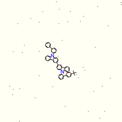 CC(C)(C)c1ccc(-c2ccccc2-n2c3ccccc3c3cc(-c4ccc5c(c4)c4ccccc4n5-c4cccc(-c5ccccc5)c4)ccc32)cc1